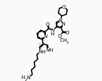 COC(=O)c1nn(C2CCOCC2)cc1NC(=O)c1cccc(/C(C=N)=C/NCCCCCCN)n1